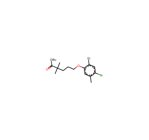 CCc1cc(Br)c(C)cc1OCCCC(C)(C)C(=O)OCC(C)C